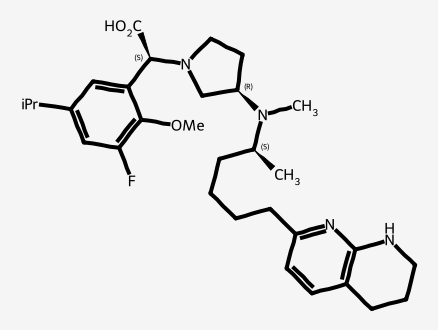 COc1c(F)cc(C(C)C)cc1[C@@H](C(=O)O)N1CC[C@@H](N(C)[C@@H](C)CCCCc2ccc3c(n2)NCCC3)C1